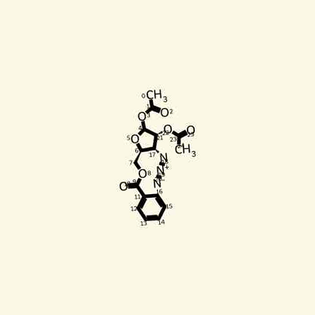 CC(=O)OC1O[C@H](COC(=O)c2ccccc2)[C@@H](N=[N+]=[N-])[C@H]1OC(C)=O